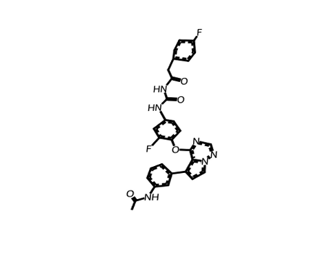 CC(=O)Nc1cccc(-c2ccn3ncnc(Oc4ccc(NC(=O)NC(=O)Cc5ccc(F)cc5)cc4F)c23)c1